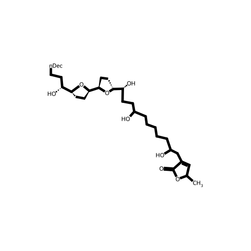 CCCCCCCCCCCC[C@@H](O)[C@H]1CC[C@H]([C@H]2CC[C@H]([C@H](O)CCC(O)CCCCCC(O)CC3=CC(C)OC3=O)O2)O1